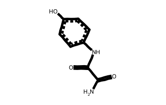 NC(=O)C(=O)Nc1ccc(O)cc1